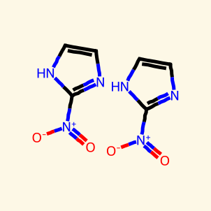 O=[N+]([O-])c1ncc[nH]1.O=[N+]([O-])c1ncc[nH]1